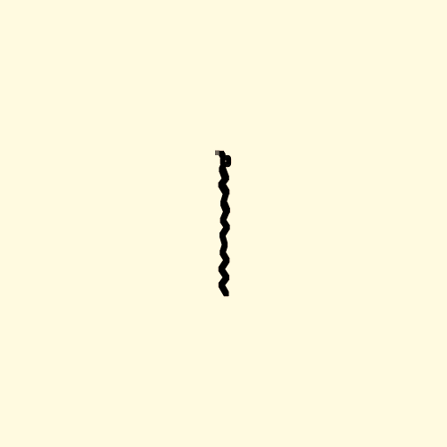 [CH2]OC=CC=CC=CCCCCCCCCCC